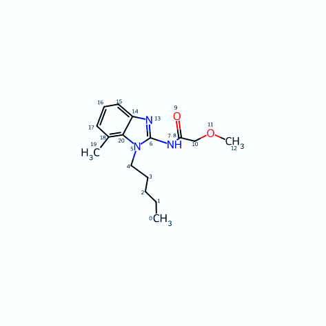 CCCCCn1c(NC(=O)COC)nc2cccc(C)c21